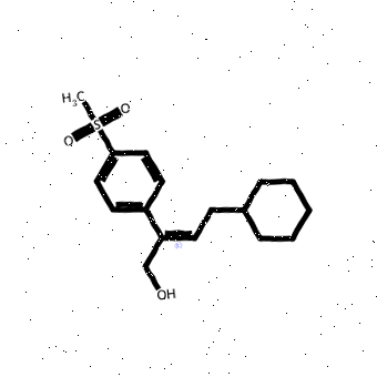 CS(=O)(=O)c1ccc(/C(=C\CC2CCCCC2)CO)cc1